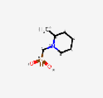 [CH2]C1CCCCN1C[SH](=O)=O